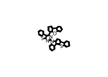 c1ccc2c(c1)oc1c(-c3nc(-n4c5ccccc5c5c6sc7ccccc7c6ccc54)nc4sc5ccccc5c34)cccc12